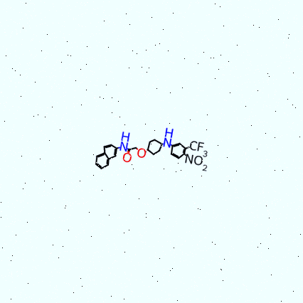 O=C(CO[C@H]1CC[C@H](Nc2ccc([N+](=O)[O-])c(C(F)(F)F)c2)CC1)Nc1ccc2ccccc2c1